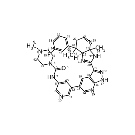 CN1CCN(C(=O)Nc2cncc(-c3cnc4[nH]nc(C5=N[C@@H]6C(C)(N=CCC6(C)c6cccc(F)c6)N5)c4c3)c2)CC1